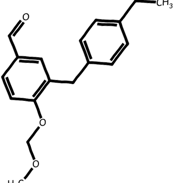 CCc1ccc(Cc2cc(C=O)ccc2OCOC)cc1